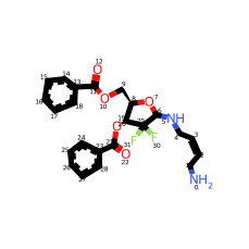 NC/C=C\CNC1O[C@H](COC(=O)c2ccccc2)[C@@H](OC(=O)c2ccccc2)C1(F)F